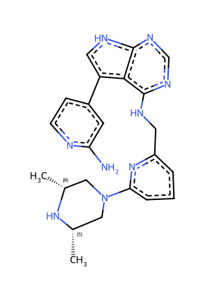 C[C@@H]1CN(c2cccc(CNc3ncnc4[nH]cc(-c5ccnc(N)c5)c34)n2)C[C@H](C)N1